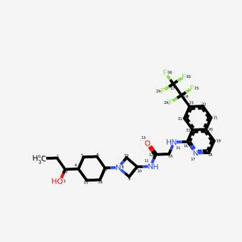 CCC(O)C1CCC(N2CC(NC(=O)CNc3nccc4ccc(C(F)(F)C(F)(F)F)cc34)C2)CC1